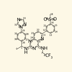 CC(Nc1nc(NCC(F)(F)F)c2nc(-c3cccc(S(C)(=O)=O)c3)ccc2n1)c1ccc(-n2cncn2)cc1